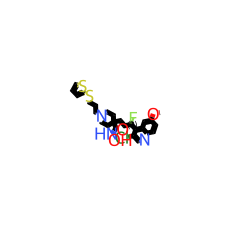 COc1ccc2ncc(Cl)c([C@H](F)CCC3(C(=O)NO)CCN(CCCSc4cccs4)CC3)c2c1